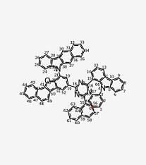 c1ccc(-n2c3ccccc3c3cccc(-c4nc(-c5cc(-n6c7ccccc7c7cc8ccccc8cc76)c6oc7c8ccccc8ccc7c6c5)nc(-c5cccc6ccccc56)n4)c32)cc1